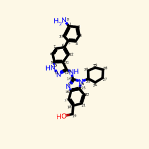 Nc1cccc(-c2ccc3[nH]nc(Nc4nc5cc(CO)ccc5n4C4CCCCC4)c3c2)c1